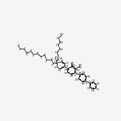 CCCCCCCCCCCCC1(OCCCCCCC)C=CC(c2ccc(-c3ccc(-c4ccccc4)cc3)c(F)c2F)=CC1